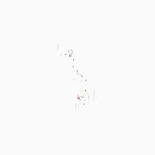 CS(=O)(=O)N1CCN(c2ccc(OC[C@@H]3C[C@H]4CC[C@@H](C3)N4C(=O)O)nc2)CC1